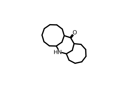 O=C1C2CCCCCCCC(C2)NC2CCCCCCC1C2